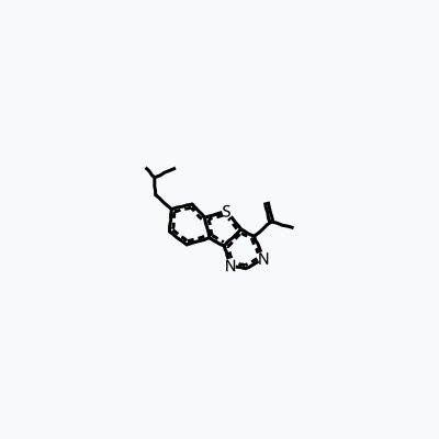 C=C(C)c1ncnc2c1sc1cc(CC(C)C)ccc12